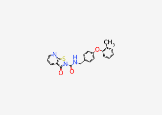 Cc1ccccc1Oc1ccc(CNC(=O)n2sc3ncccc3c2=O)cc1